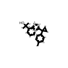 Cc1ccc(C2(c3nnc4c(C(C)(C)O)cccn34)CC2)cc1